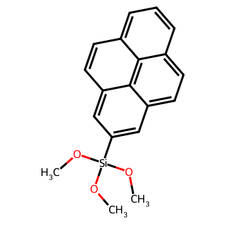 CO[Si](OC)(OC)c1cc2ccc3cccc4ccc(c1)c2c34